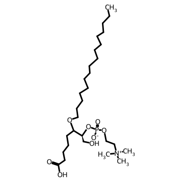 CCCCCCCCCCCCCCCCOC(CCCCC(=O)O)[C@H](CO)OP(=O)([O-])OCC[N+](C)(C)C